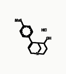 CSc1ccc(C2=CCN3CCC(O)C2C3)cc1.Cl